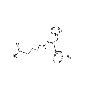 O=C(O)CCCCO/N=C(/Cn1ccnc1)c1cccc(Br)c1